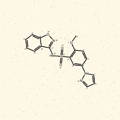 COc1ccc(-n2cccn2)cc1S(=O)(=O)Nc1noc2ccccc12